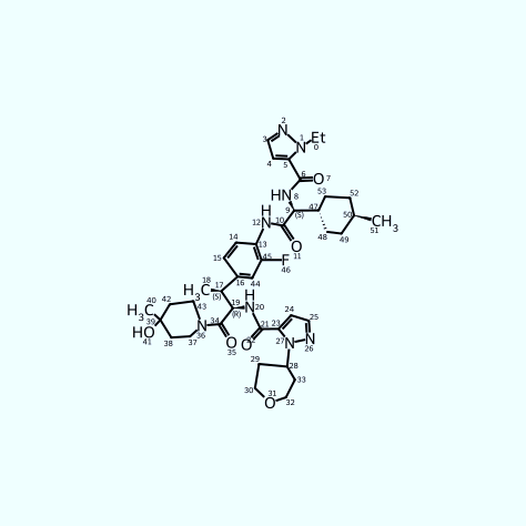 CCn1nccc1C(=O)N[C@H](C(=O)Nc1ccc([C@H](C)[C@@H](NC(=O)c2ccnn2C2CCOCC2)C(=O)N2CCC(C)(O)CC2)cc1F)[C@H]1CC[C@H](C)CC1